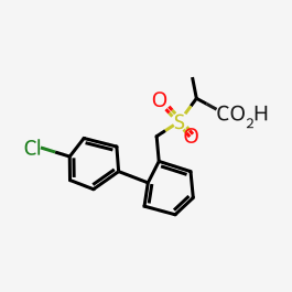 CC(C(=O)O)S(=O)(=O)Cc1ccccc1-c1ccc(Cl)cc1